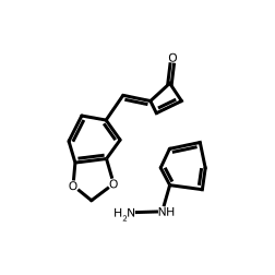 NNc1ccccc1.O=C1C=CC1=Cc1ccc2c(c1)OCO2